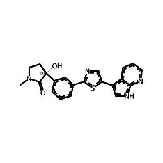 CN1CC[C@@](O)(c2cccc(-c3ncc(-c4c[nH]c5ncccc45)s3)c2)C1=O